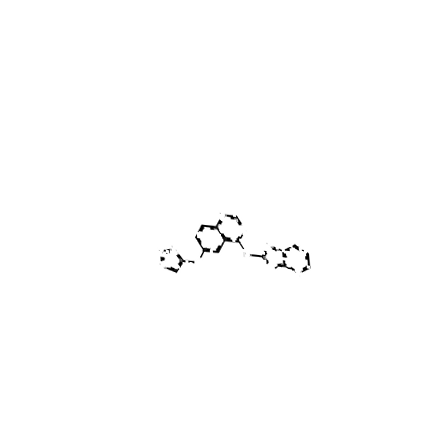 c1cnc2sc(Nc3ncnc4ccc(Sc5cnn[nH]5)cc34)nc2c1